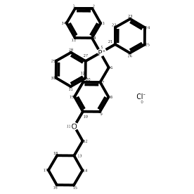 [Cl-].c1ccc([P+](Cc2ccc(OCC3CCCCC3)cc2)(c2ccccc2)c2ccccc2)cc1